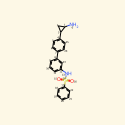 NC1CC1c1ccc(-c2cccc(NS(=O)(=O)c3ccccc3)c2)cc1